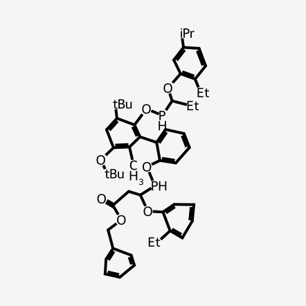 CCc1ccccc1OC(CC(=O)OCc1ccccc1)POc1ccccc1-c1c(C)c(OC(C)(C)C)cc(C(C)(C)C)c1OPC(CC)Oc1cc(C(C)C)ccc1CC